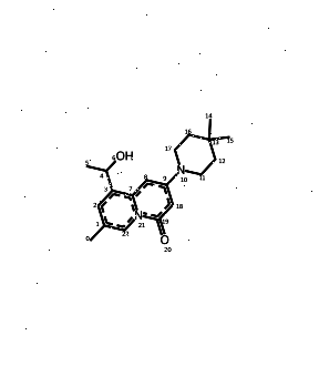 Cc1cc(C(C)O)c2cc(N3CCC(C)(C)CC3)cc(=O)n2c1